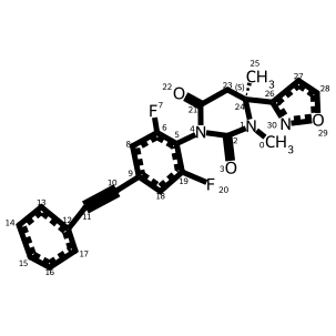 CN1C(=O)N(c2c(F)cc(C#Cc3ccccc3)cc2F)C(=O)C[C@@]1(C)c1ccon1